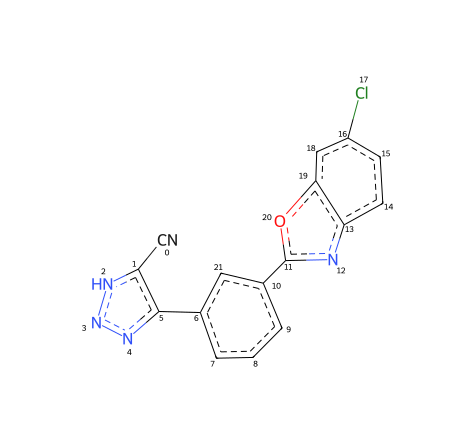 N#Cc1[nH]nnc1-c1cccc(-c2nc3ccc(Cl)cc3o2)c1